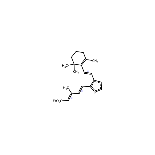 CCOC(=O)/C=C(C)/C=C/c1sccc1/C=C/C1=C(C)CCCC1(C)C